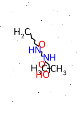 C=CCCCC(=O)NCCNC(=O)CC(C)(C)CO